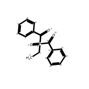 CCP(=O)(C(=O)c1ccccc1)C(=O)c1ccccc1